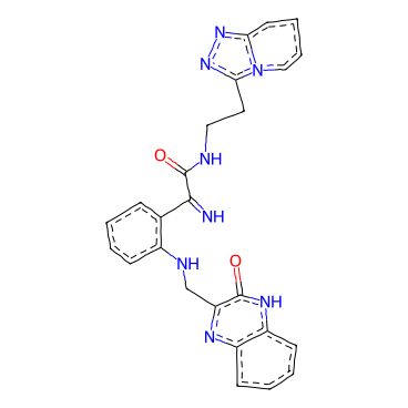 N=C(C(=O)NCCc1nnc2ccccn12)c1ccccc1NCc1nc2ccccc2[nH]c1=O